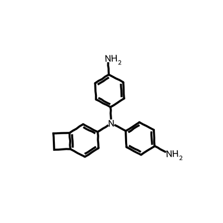 Nc1ccc(N(c2ccc(N)cc2)c2ccc3c(c2)CC3)cc1